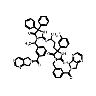 CC(CCC1(c2cccc(F)c2)NC(=N)N(Cc2cccc(C(=O)N3Cc4nccnc4C3)c2)C1=O)/N=C1\NC(c2ccccc2)(c2ccccc2)C(=O)N1C(C)c1cccc(C(=O)N2Cc3cncnc3C2)c1